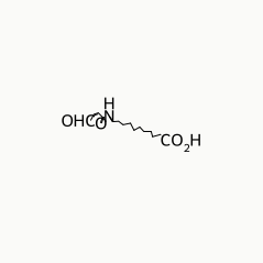 O=C/C=C\C(=O)NCCCCCCCCCCC(=O)O